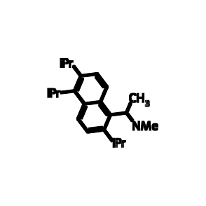 CNC(C)c1c(C(C)C)ccc2c(C(C)C)c(C(C)C)ccc12